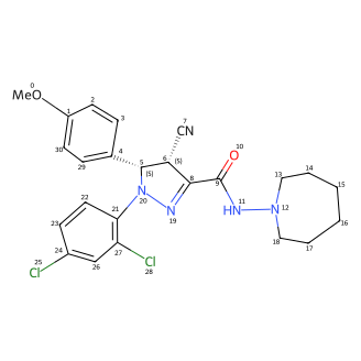 COc1ccc([C@@H]2[C@H](C#N)C(C(=O)NN3CCCCCC3)=NN2c2ccc(Cl)cc2Cl)cc1